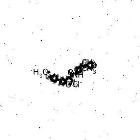 CCOc1ccc(-c2ccc3c(c2)C=C(C(=O)Nc2ccc(C[N+](C)(C)C4CCOCC4)cc2)CCO3)cc1.[Cl-]